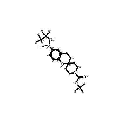 CC(C)(C)OC(=O)N1CCC2(CCc3cc(B4OC(C)(C)C(C)(C)O4)ccc3O2)CC1